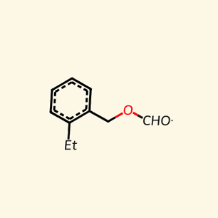 CCc1ccccc1CO[C]=O